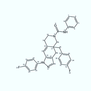 O=C(Nc1ccccc1)N1CCC2=Cc3c(cnn3-c3ccc(F)cc3)CC2(Cc2ccc(F)cc2)C1